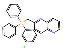 [Cl-].c1ccc([P+](Cc2ccc3ncccc3n2)(c2ccccc2)c2ccccc2)cc1